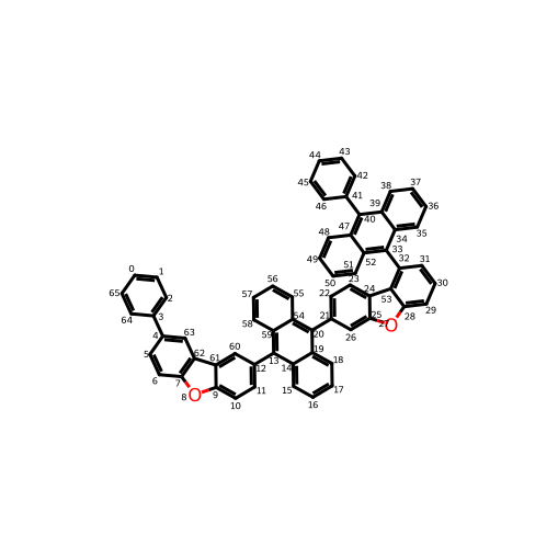 c1ccc(-c2ccc3oc4ccc(-c5c6ccccc6c(-c6ccc7c(c6)oc6cccc(-c8c9ccccc9c(-c9ccccc9)c9ccccc89)c67)c6ccccc56)cc4c3c2)cc1